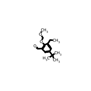 CCc1cc(C(C)(C)C)cc(C=O)c1OCOC